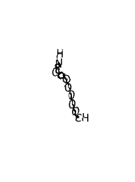 C#CCOCCOCCOCCOCCOc1ccc(OC2CNC2)cc1